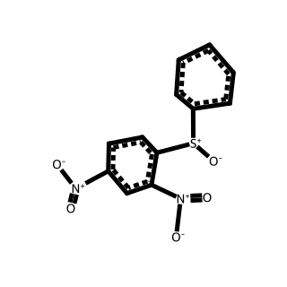 O=[N+]([O-])c1ccc([S+]([O-])c2ccccc2)c([N+](=O)[O-])c1